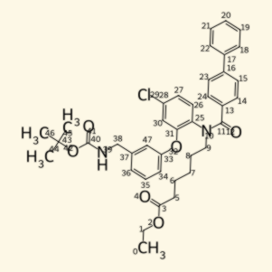 CCOC(=O)CCCCCN(C(=O)c1ccc(-c2ccccc2)cc1)c1ccc(Cl)cc1Oc1cccc(CNC(=O)OC(C)(C)C)c1